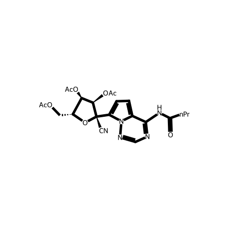 CCCC(=O)Nc1ncnn2c([C@]3(C#N)O[C@H](COC(C)=O)[C@@H](OC(C)=O)[C@H]3OC(C)=O)ccc12